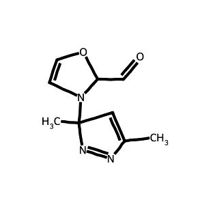 CC1=CC(C)(N2C=COC2C=O)N=N1